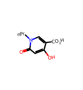 CCCn1cc(C(=O)O)c(O)cc1=O